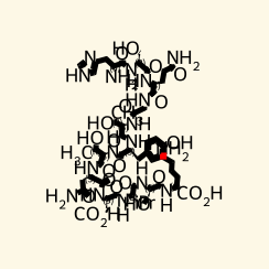 CC(C)[C@H](NC(=O)[C@H](CC(=O)O)NC(=O)[C@H](CC(N)=O)NC(=O)[C@@H](NC(=O)[C@H](Cc1ccc(O)cc1)NC(=O)[C@@H](NC(=O)CNC(=O)[C@H](CCC(N)=O)NC(=O)[C@@H](CO)NC(=O)[C@@H](N)Cc1c[nH]cn1)[C@@H](C)O)[C@@H](C)O)C(=O)N[C@@H](CO)C(=O)N[C@@H](CCCCN)C(=O)O